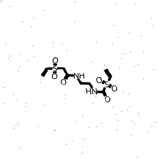 C=CS(=O)(=O)CC(=O)NCCNC(=O)S(=O)(=O)C=C